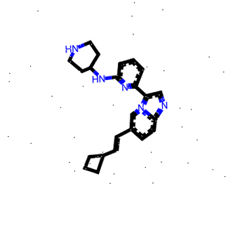 C(=C\C1CCC1)/c1ccc2ncc(-c3cccc(NC4CCNCC4)n3)n2c1